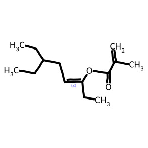 C=C(C)C(=O)O/C(=C\CC(CC)CC)CC